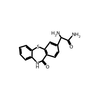 NC(=O)C(N)c1ccc2c(c1)Sc1ccccc1NC2=O